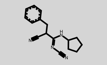 N#C/N=C(\NC1CCCC1)C(C#N)Cc1ccccc1